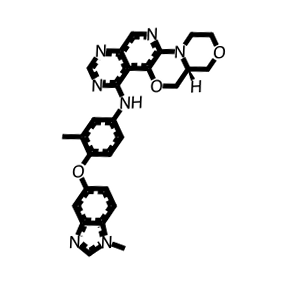 Cc1cc(Nc2ncnc3cnc4c(c23)OC[C@H]2COCCN42)ccc1Oc1ccc2c(c1)ncn2C